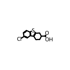 O=C(O)C1CCc2c(sc3ccc(Cl)cc23)C1